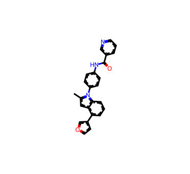 Cc1cc2c(-c3ccoc3)cccc2n1-c1ccc(NC(=O)c2cccnc2)cc1